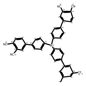 Cc1cc(-c2ccc(N(c3ccc(-c4ccc(C#N)c(C#N)c4)cc3)c3ccc(-c4ccc(C#N)c(C#N)c4)cc3)cc2)cc(C(F)(F)F)c1